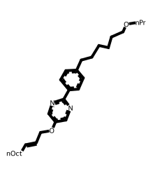 CCCCCCCCC=CCOc1cnc(-c2ccc(CCCCCCOCCC)cc2)nc1